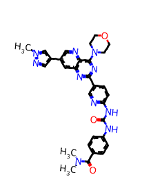 CN(C)C(=O)c1ccc(NC(=O)Nc2ccc(-c3nc(N4CCOCC4)c4ncc(-c5cnn(C)c5)cc4n3)cn2)cc1